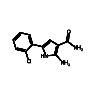 NC(=O)c1cc(-c2ccccc2Cl)[nH]c1N